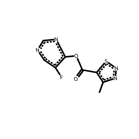 Cc1nnsc1C(=O)Oc1ncncc1F